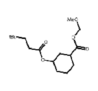 COCOC(=O)C1CCCC(OC(=O)CCC(C)(C)C)C1